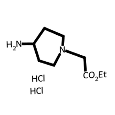 CCOC(=O)CN1CCC(N)CC1.Cl.Cl